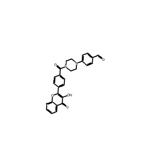 O=Cc1ccc(N2CCN(C(=O)c3ccc(-c4oc5ccccc5c(=O)c4O)cc3)CC2)cc1